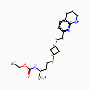 CC(C)(C)COC(=O)N[C@@H](CCO[C@H]1C[C@H](CCc2ccc3c(n2)NCCC3)C1)C(=O)O